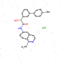 CC(C)(C)c1ccc(-c2cccc(C(O)C(=O)Nc3ccc4c([AsH2])nccc4c3)c2)cc1.Cl